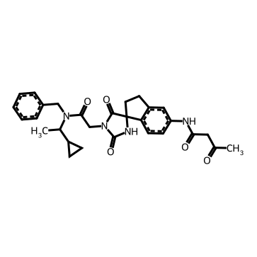 CC(=O)CC(=O)Nc1ccc2c(c1)CCC21NC(=O)N(CC(=O)N(Cc2ccccc2)C(C)C2CC2)C1=O